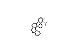 Cc1ccc2c(oc3c2ccc2ccc4ccccc4c23)c1C(C)C